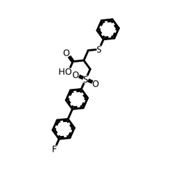 O=C(O)C(CSc1ccccc1)CS(=O)(=O)c1ccc(-c2ccc(F)cc2)cc1